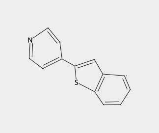 [c]1cccc2sc(-c3ccncc3)cc12